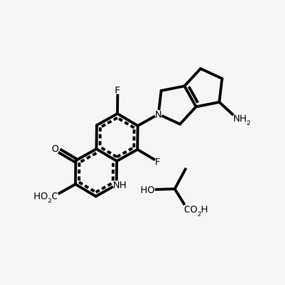 CC(O)C(=O)O.NC1CCC2=C1CN(c1c(F)cc3c(=O)c(C(=O)O)c[nH]c3c1F)C2